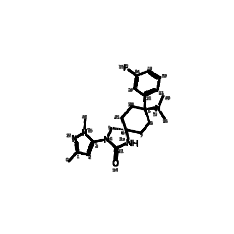 Cc1cc(N2C[C@]3(CC[C@](c4cccc(F)c4)(N(C)C)CC3)NC2=O)n(C)n1